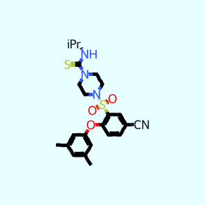 Cc1cc(C)cc(Oc2ccc(C#N)cc2S(=O)(=O)N2CCN(C(=S)NC(C)C)CC2)c1